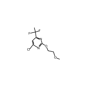 COCCOc1nc(Cl)cc(C(C)(F)F)n1